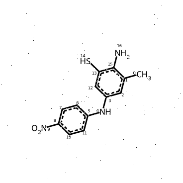 Cc1cc(Nc2ccc([N+](=O)[O-])cc2)cc(S)c1N